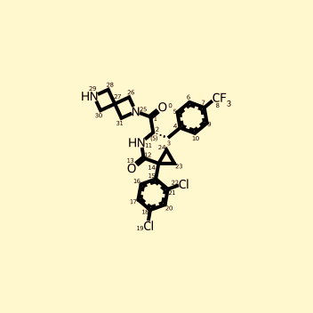 O=C([C@H](Cc1ccc(C(F)(F)F)cc1)NC(=O)C1(c2ccc(Cl)cc2Cl)CC1)N1CC2(CNC2)C1